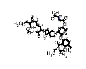 CCN(C(=O)c1cc(F)ccc1Oc1nncnc1N1CCC2(C1)CN(C(CCCN(C)C(COC)COC)C(C)C)C2)C(C)C.O=C(O)/C=C/C(=O)O